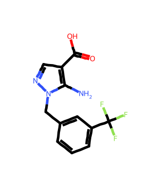 Nc1c(C(=O)O)cnn1Cc1cccc(C(F)(F)F)c1